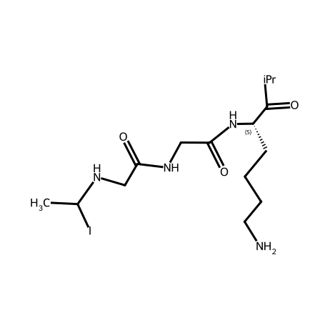 CC(I)NCC(=O)NCC(=O)N[C@@H](CCCCN)C(=O)C(C)C